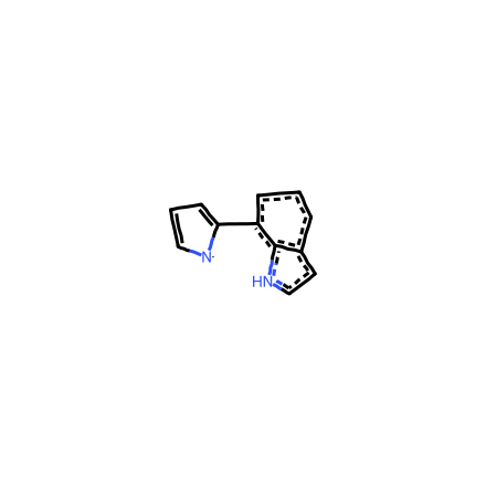 C1=C[N]C(c2cccc3cc[nH]c23)=C1